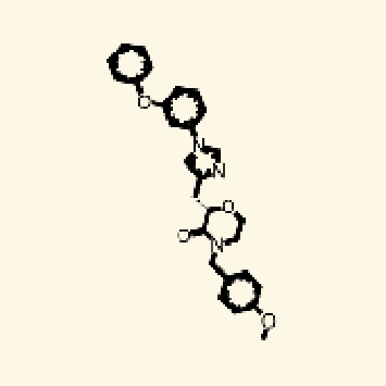 COc1ccc(CN2CCO[C@@H](Cc3cn(-c4cccc(Oc5ccccc5)c4)cn3)C2=O)cc1